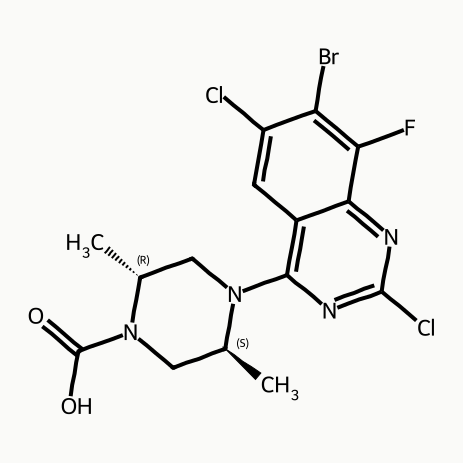 C[C@@H]1CN(c2nc(Cl)nc3c(F)c(Br)c(Cl)cc23)[C@@H](C)CN1C(=O)O